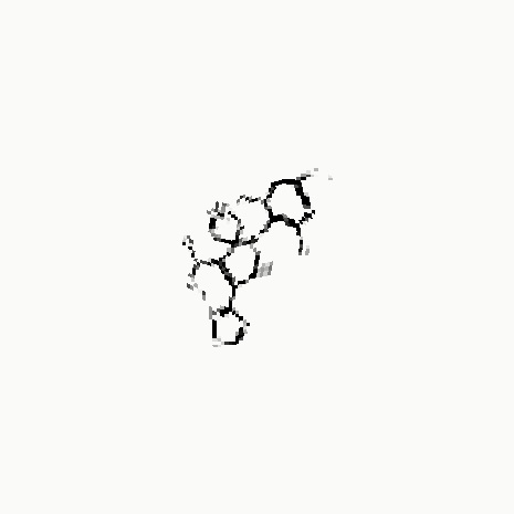 C=NC1(OCC)C([S+]([O-])C(F)(F)F)=C(c2ncon2)NN1c1c(Cl)cc(C(F)(F)F)cc1Cl